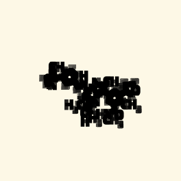 CNC(=O)c1cc(-c2c(C)nn3c(NCc4cccc(-c5nccn5C)c4)cc(C(C)(C)O)nc23)cc(C2CCOC2)c1C